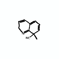 CC1(C#N)C=CC=C2C=CCN=C21